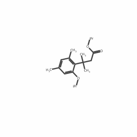 Cc1cc(C)c(C(C)(C)CC(=O)OC(C)C)c(OC(C)C)c1